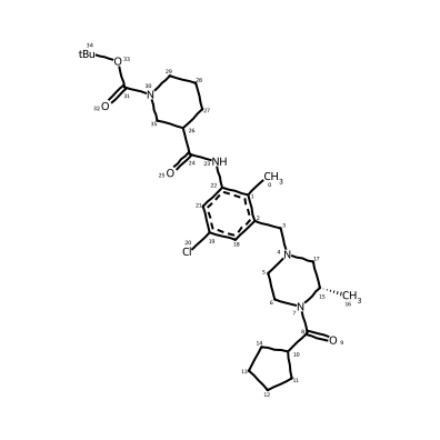 Cc1c(CN2CCN(C(=O)C3CCCC3)[C@@H](C)C2)cc(Cl)cc1NC(=O)C1CCCN(C(=O)OC(C)(C)C)C1